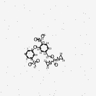 CS(=O)(=O)c1cccc(Oc2cc(COP(=O)(N3CC3)N3CC3)ccc2[N+](=O)[O-])c1